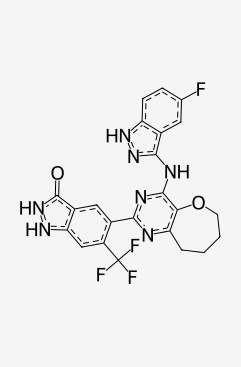 O=c1[nH][nH]c2cc(C(F)(F)F)c(-c3nc4c(c(Nc5n[nH]c6ccc(F)cc56)n3)OCCCC4)cc12